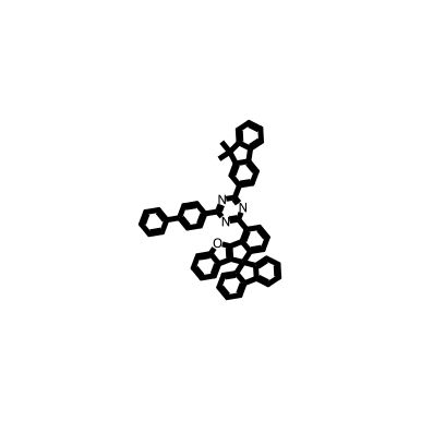 CC1(C)c2ccccc2-c2ccc(-c3nc(-c4ccc(-c5ccccc5)cc4)nc(-c4cccc5c4-c4oc6ccccc6c4C54c5ccccc5-c5ccccc54)n3)cc21